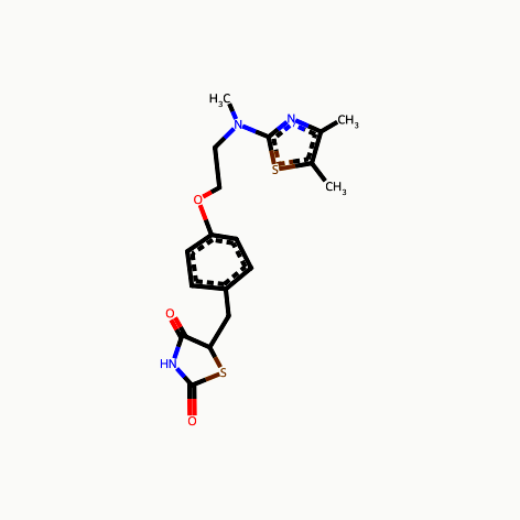 Cc1nc(N(C)CCOc2ccc(CC3SC(=O)NC3=O)cc2)sc1C